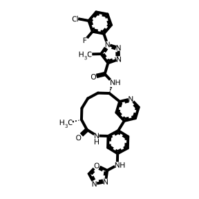 Cc1c(C(=O)N[C@H]2CCC[C@@H](C)C(=O)Nc3cc(Nc4nnco4)ccc3-c3ccnc2c3)nnn1-c1cccc(Cl)c1F